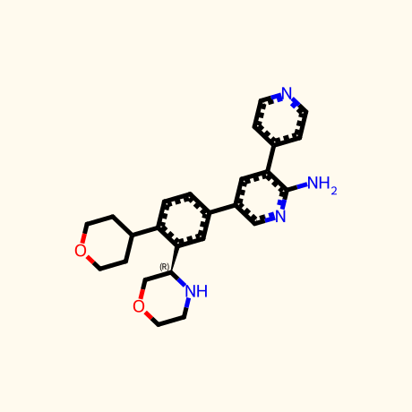 Nc1ncc(-c2ccc(C3CCOCC3)c([C@@H]3COCCN3)c2)cc1-c1ccncc1